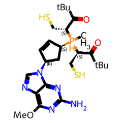 COc1nc(N)nc2c1ncn2[C@H]1C=C[C@@H]([PH](C)([C@H](CS)C(=O)C(C)(C)C)[C@H](CS)C(=O)C(C)(C)C)C1